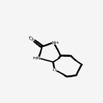 O=C1NC2CCCCOC2N1